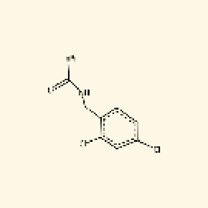 CCCC(=O)NCc1ccc(Cl)cc1Cl